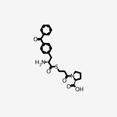 N[C@@H](Cc1ccc(C(=O)c2ccccc2)cc1)C(=O)SCCC(=O)N1CCC[C@H]1C(=O)O